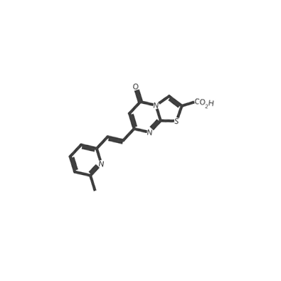 Cc1cccc(/C=C/c2cc(=O)n3cc(C(=O)O)sc3n2)n1